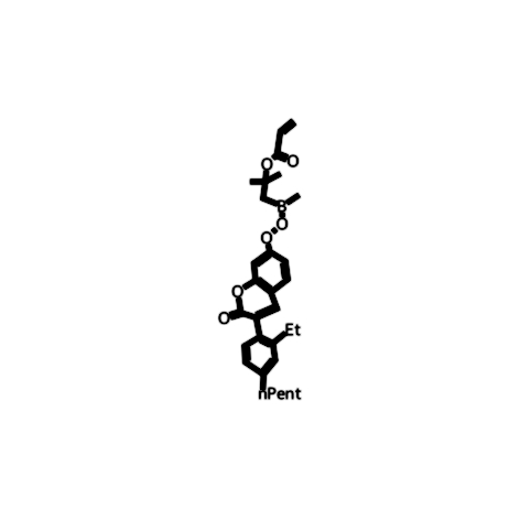 C=CC(=O)OC(C)(C)CB(C)OOc1ccc2cc(-c3ccc(CCCCC)cc3CC)c(=O)oc2c1